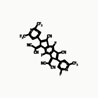 N#CC(C#N)=C1C(c2cc(F)nc(C(F)(F)F)c2)=C(C#N)c2c(F)c3c(c(F)c21)C(=C(C#N)C#N)C(c1cc(C(F)(F)F)nc(C(F)(F)F)c1)=C3C#N